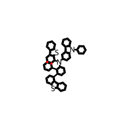 c1ccc(-c2c(-c3cccc4sc5ccccc5c34)cccc2N(c2ccc3c(c2)c2ccccc2n3-c2ccccc2)c2cccc3c2sc2ccccc23)cc1